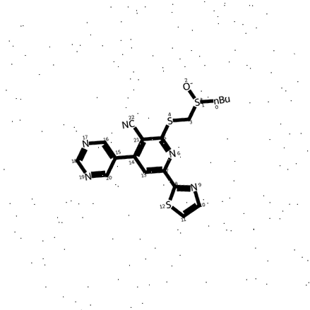 CCCC[S+]([O-])CSc1nc(-c2nccs2)cc(-c2cncnc2)c1C#N